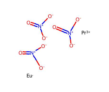 O=[N+]([O-])[O-].O=[N+]([O-])[O-].O=[N+]([O-])[O-].[Eu].[Pr+3]